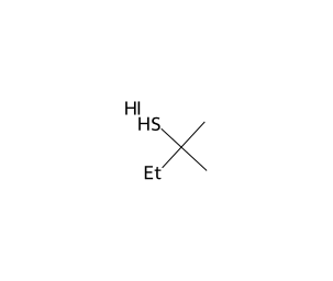 CCC(C)(C)S.I